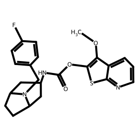 COc1c(OC(=O)NC2CC3CCC(C2)N3Cc2ccc(F)cc2)sc2ncccc12